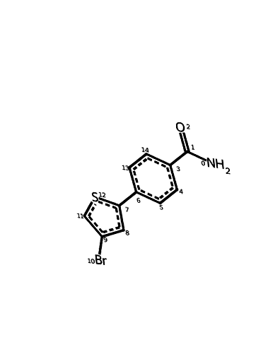 NC(=O)c1ccc(-c2cc(Br)cs2)cc1